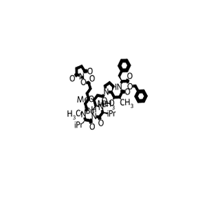 CC[C@H](C)[C@@H]([C@@H](CC(=O)N1CCC[C@H]1[C@H](OC)[C@@H](C)C(=O)N[C@@H](Cc1ccccc1)C(=O)OCc1ccccc1)OC)N(C)[C@H](C(=O)NC(=O)[C@H](C(C)C)N(C)CCCCCC(=O)ON1C(=O)CCC1=O)C(C)C